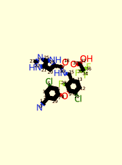 N#Cc1cc(Cl)cc(Oc2c(Cl)ccc(CNC(=O)c3cc4[nH]cnc4[nH]3)c2F)c1.O=C(O)C(F)(F)F